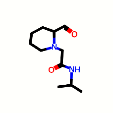 CC(C)NC(=O)CN1CCCCC1C=O